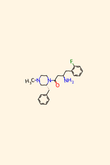 CN1CCN(C(=O)C[C@H](N)Cc2ccccc2F)[C@H](Cc2ccccc2)C1